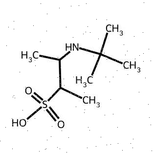 CC(NC(C)(C)C)C(C)S(=O)(=O)O